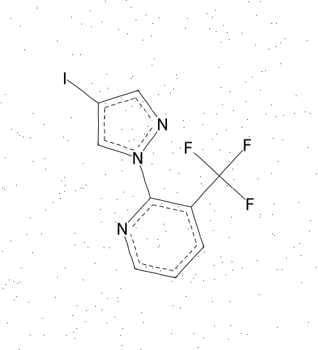 FC(F)(F)c1cccnc1-n1cc(I)cn1